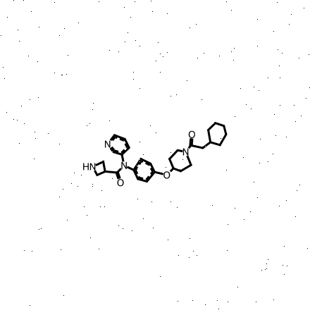 O=C(CC1CCCCC1)N1CCC(Oc2ccc(N(C(=O)C3CNC3)c3cccnc3)cc2)CC1